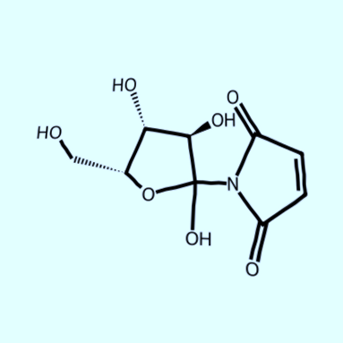 O=C1C=CC(=O)N1C1(O)O[C@H](CO)[C@H](O)[C@H]1O